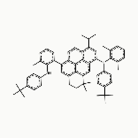 Cc1cccc(-c2cc3c4c(cc5c(N(c6ccc(C(C)(C)C)cc6)c6c(C)cccc6C)cc(C(C)C)c6ccc2c4c65)C(C)(C)CC3)c1Nc1ccc(C(C)(C)C)cc1